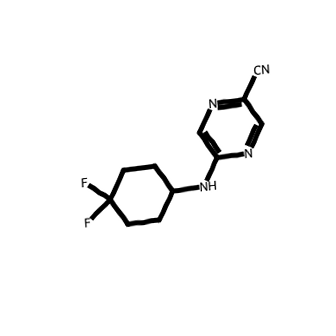 N#Cc1cnc(NC2CCC(F)(F)CC2)cn1